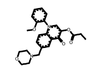 CCC(=O)Oc1cn(-c2ccccc2OC)c2ccc(CN3CCOCC3)cc2c1=O